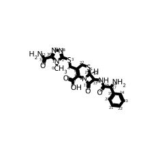 Cn1c(SCC2=C(C(=O)O)N3C(=O)C(NC(=O)C(N)c4ccccc4)[C@@H]3SC2)nnc1C(N)=O